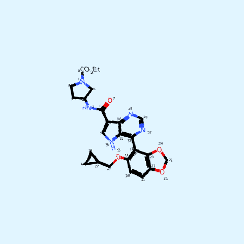 CCOC(=O)N1CCC(NC(=O)c2c[nH]c3c(-c4c(OCC5CC5)ccc5c4OCO5)ncnc23)C1